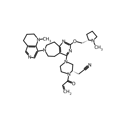 C=CC(=O)N1CCN(c2nc(OC[C@@H]3CCCN3C)nc3c2CCN(c2cncc4c2N(C)CCC4)CC3)C[C@@H]1CC#N